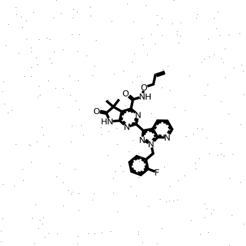 C=CCONC(=O)c1nc(-c2nn(Cc3ccccc3F)c3ncccc23)nc2c1C(C)(C)C(=O)N2